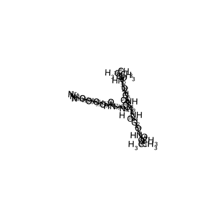 CC(C)(C)OC(=O)NCCOCCOCC(=O)NCCN(CCNC(=O)COCCOCCNC(=O)OC(C)(C)C)CC(=O)NCCCNC(=O)CCOCCOCCOCCOCCN=[N+]=[N-]